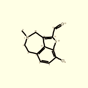 CN1CCc2ccc(Cl)c3sc(C=O)c(c23)C1